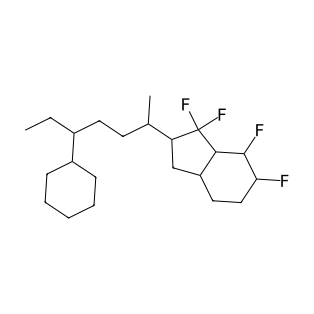 CCC(CCC(C)C1CC2CCC(F)C(F)C2C1(F)F)C1CCCCC1